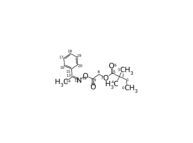 CCC(C)(C)C(=O)OCC(=O)O/N=C(/C)c1ccccc1